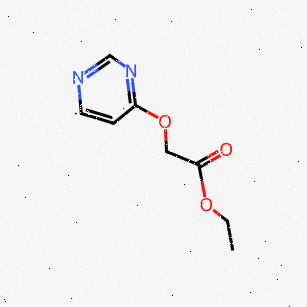 CCOC(=O)COc1c[c]ncn1